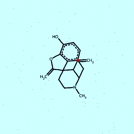 C=CC1C2Cc3ccc(O)c4c3C1(CCN2C)C(=C)O4